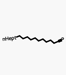 CCCCCCCCCCCCCCCCCC#P